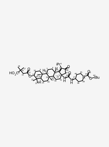 CC(C)C1=C2[C@H]3CC[C@@H]4[C@@]5(C)CC[C@H](OC(=O)CC(C)(C)C(=O)O)C(C)(C)[C@@H]5CC[C@@]4(C)[C@]3(C)CC[C@@]2(NC(=O)NC2CCN(C(=O)OC(C)(C)C)CC2)CC1=O